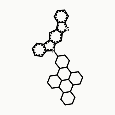 c1ccc2c(c1)sc1cc3c(cc12)c1ccccc1n3C1CCC2C(C1)C1CCCC3C4CCCCC4C4CCCC2C4C31